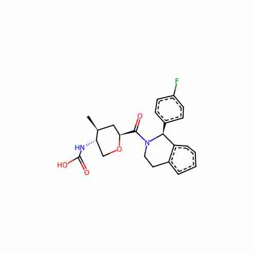 C[C@H]1C[C@@H](C(=O)N2CCc3ccccc3[C@@H]2c2ccc(F)cc2)OC[C@@H]1NC(=O)O